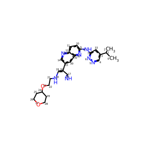 CC(C)c1cnnc(Nc2ccc3ncc(/C(C=N)=C/NCCOC4CCOCC4)cc3n2)c1